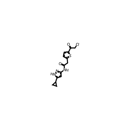 O=C(Cc1ccc(C(=O)CCl)s1)Nc1cc(C2CC2)[nH]n1